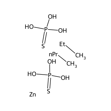 CCC.CCCC.OP(O)(O)=S.OP(O)(O)=S.[Zn]